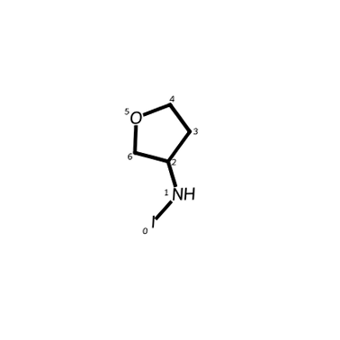 INC1CCOC1